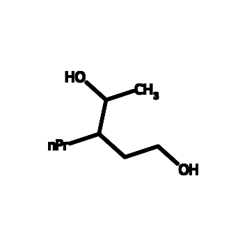 CCCC(CCO)C(C)O